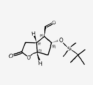 CC(C)(C)[Si](C)(C)O[C@@H]1C[C@@H]2OC(=O)C[C@@H]2[C@H]1C=O